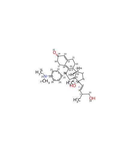 CC(/C=C/[C@]1(O)CC[C@H]2[C@@H]3CCC4=CC(=O)CCC4=C3[C@@H](c3ccc(N(C)C)cc3)C[C@@]21C)CO